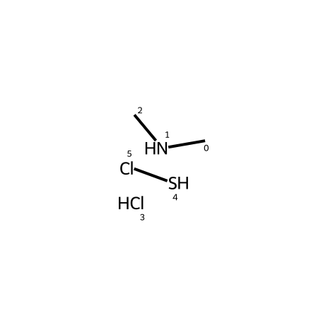 CNC.Cl.SCl